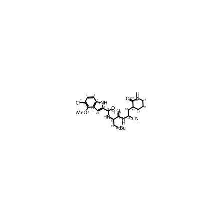 COc1c(Cl)ccc2[nH]c(C(O)NC(CC(C)(C)C)C(=O)NC(C#N)CC3CCCNC3=O)cc12